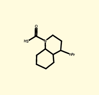 CCCC1CCN(C(=O)S)C2CCCCC12